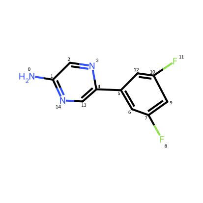 Nc1cnc(-c2cc(F)cc(F)c2)cn1